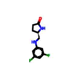 O=C1CC[C@@H](CNc2cc(F)cc(F)c2)N1